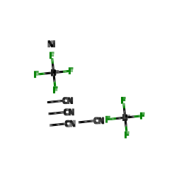 CC#N.CC#N.CC#N.CC#N.F[B-](F)(F)F.F[B-](F)(F)F.[Ni]